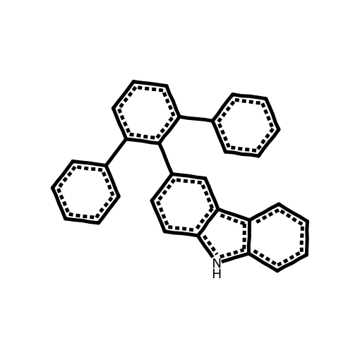 c1ccc(-c2cccc(-c3ccccc3)c2-c2ccc3[nH]c4ccccc4c3c2)cc1